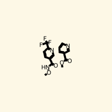 COC(=O)c1cccnc1.CONC(=O)c1ccc(C(F)(F)F)nc1